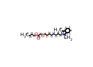 C=c1c2ccccc2c(=C)n1CCCCCCCCOCC(=O)OCCCC